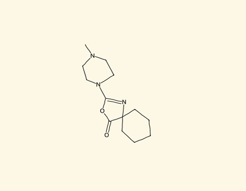 CN1CCN(C2=NC3(CCCCC3)C(=O)O2)CC1